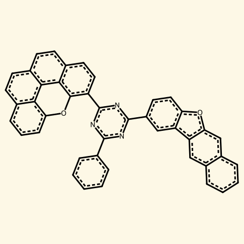 c1ccc(-c2nc(-c3ccc4oc5cc6ccccc6cc5c4c3)nc(-c3ccc4ccc5ccc6cccc7c6c5c4c3O7)n2)cc1